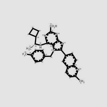 Cc1ccc2cc(-c3nc4nc(C(=O)O)nc(N[C@H](C)C5CCC5)c4n3Cc3ccc(C(F)(F)F)cc3)ccc2n1